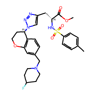 COC(=O)[C@@H](Cc1cn([C@@H]2CCOc3cc(CN4CCC(F)CC4)ccc32)nn1)NS(=O)(=O)c1ccc(C)cc1